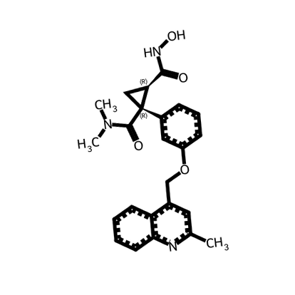 Cc1cc(COc2cccc([C@@]3(C(=O)N(C)C)C[C@H]3C(=O)NO)c2)c2ccccc2n1